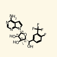 C[C@@]1(O)[C@@H](C(O)c2ccc(F)c(C(F)(F)F)c2)O[C@@H](n2ccc3c(N)ncnc32)[C@@H]1O